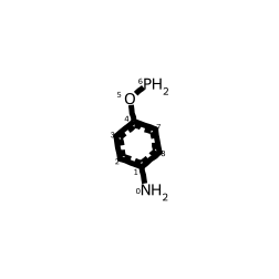 Nc1ccc(OP)cc1